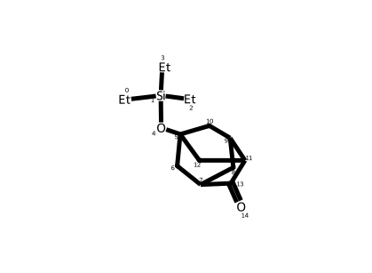 CC[Si](CC)(CC)OC12CC3CC(C1)C(C2)C3=O